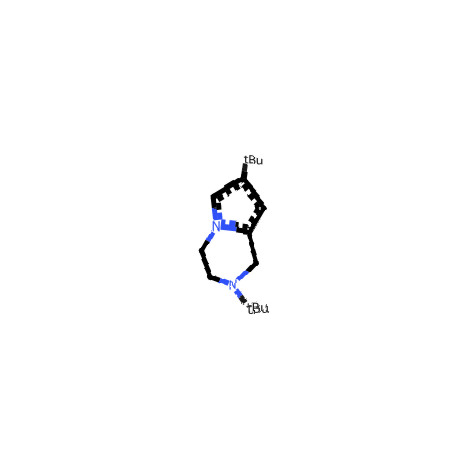 CC(C)(C)c1cc2n(c1)CCN(C(C)(C)C)C2